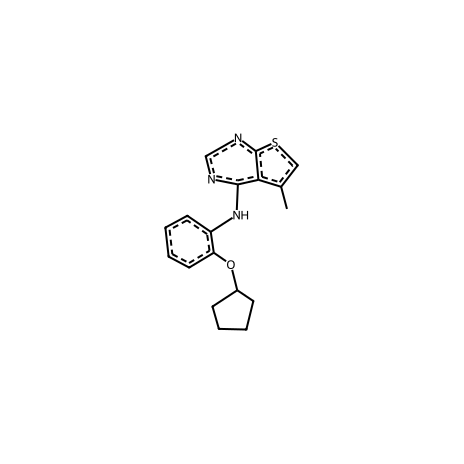 Cc1csc2ncnc(Nc3ccccc3OC3CCCC3)c12